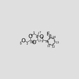 COCC1OCC(C)(OCc2ccccc2F)CO1